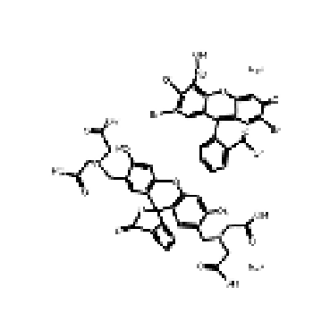 O=C(O)CN(CC(=O)O)Cc1cc2c(cc1O)Oc1cc(O)c(CN(CC(=O)O)CC(=O)O)cc1C21OC(=O)c2ccccc21.O=C([O-])c1ccccc1-c1c2cc(Br)c(=O)cc-2oc2[c]([Hg][OH])c([O-])c(Br)cc12.[Na+].[Na+]